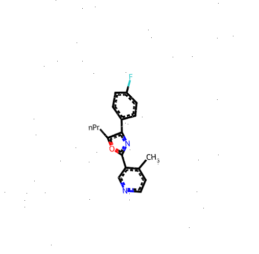 CCCc1oc(-c2cnccc2C)nc1-c1ccc(F)cc1